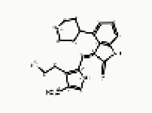 O=C1Nc2cccc(C3CCNCC3)c2C1=Cc1[nH]cc(C(=O)O)c1CCO